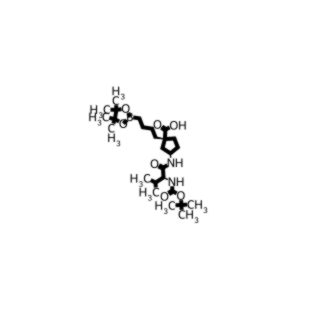 CC(C)[C@@H](NC(=O)OC(C)(C)C)C(=O)N[C@H]1CC[C@@](CCCCB2OC(C)(C)C(C)(C)O2)(C(=O)O)C1